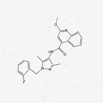 COc1cc(C(=O)Nc2c(C)nn(Cc3ccccc3F)c2C)c2ccccc2n1